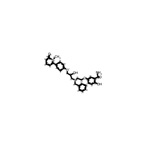 Cn1c(-c2ccc(OCC(O)CN(CCOc3ccc(O)c(C(N)=O)c3)Cc3ccccc3)cc2)cccc1=O